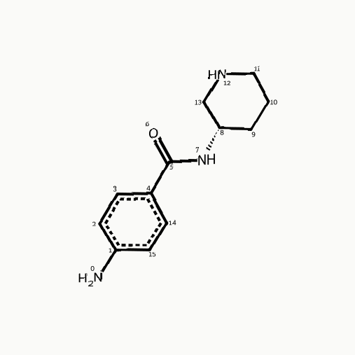 Nc1ccc(C(=O)N[C@H]2CCCNC2)cc1